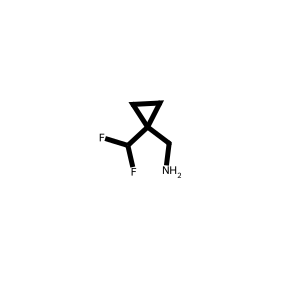 NCC1(C(F)F)CC1